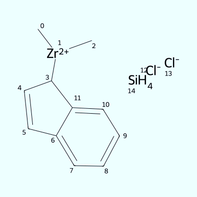 [CH3][Zr+2]([CH3])[CH]1C=Cc2ccccc21.[Cl-].[Cl-].[SiH4]